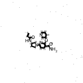 C=CC(=O)N[C@H]1CCN(c2ccc(C(N)=O)c(Oc3cccnc3)n2)C1